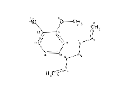 C=CCCCC=C.COc1ccccc1O